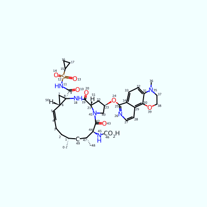 C[C@@H]1CCC=C[C@@H]2C[C@@]2(C(=O)NS(=O)(=O)C2CC2)NC(=O)[C@@H]2C[C@@H](Oc3nccc4c5c(ccc34)N(C)CCO5)CN2C(=O)[C@@H](NC(=O)O)[C@H](C)C1